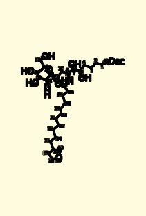 CCCCCCCCCCCCCC[C@@H](O)[C@@H](O)[C@H](COC1OC(CO)C(O)C(O)C1O)NC(=O)CCCCCCCCCCC1CCOC1